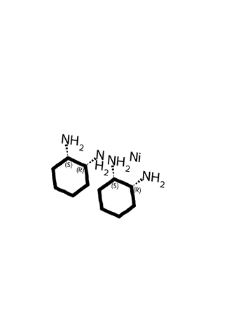 N[C@@H]1CCCC[C@@H]1N.N[C@@H]1CCCC[C@@H]1N.[Ni]